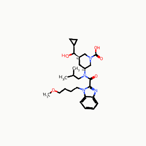 COCCCCn1c(C(=O)N(CC(C)C)[C@H]2C[C@@H](C(O)C3CC3)CN(C(=O)O)C2)nc2ccccc21